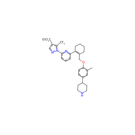 CCOC(=O)c1cnn(-c2cccc(C3=C(COc4ccc(C5CCNCC5)cc4C)CCCC3)n2)c1C(F)(F)F